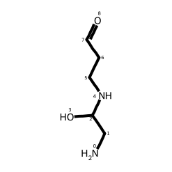 NCC(O)NCCC=O